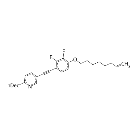 C=CCCCCCCOc1ccc(C#Cc2ccc(CCCCCCCCCC)nc2)c(F)c1F